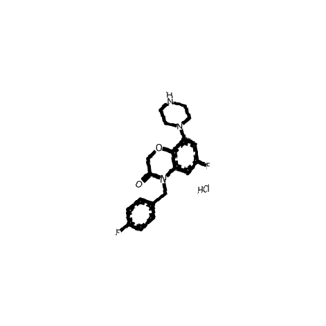 Cl.O=C1COc2c(N3CCNCC3)cc(F)cc2N1Cc1ccc(F)cc1